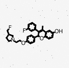 CC1=C(c2cccc(F)c2)C(c2ccc(OCCN3CCC(CF)C3)cc2)Oc2ccc(O)cc21